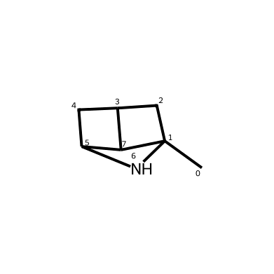 CC12CC3CC(N1)C32